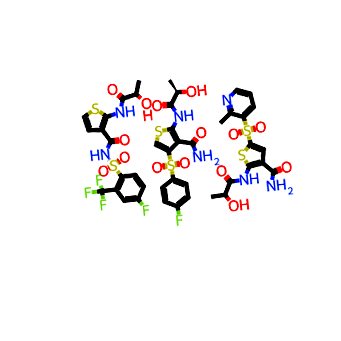 CC(O)C(=O)Nc1sccc1C(=O)NS(=O)(=O)c1ccc(F)cc1C(F)(F)F.C[C@@H](O)C(=O)Nc1scc(S(=O)(=O)c2ccc(F)cc2)c1C(N)=O.Cc1ncccc1S(=O)(=O)c1cc(C(N)=O)c(NC(=O)C(C)O)s1